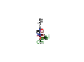 O=C1CC(CCc2ccccc2)CN1c1ccnc(N(C(=O)OCC(Cl)(Cl)Cl)C(=O)OCC(Cl)(Cl)Cl)c1